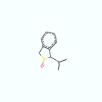 CC(C)C1c2ccccc2C[S+]1[O-]